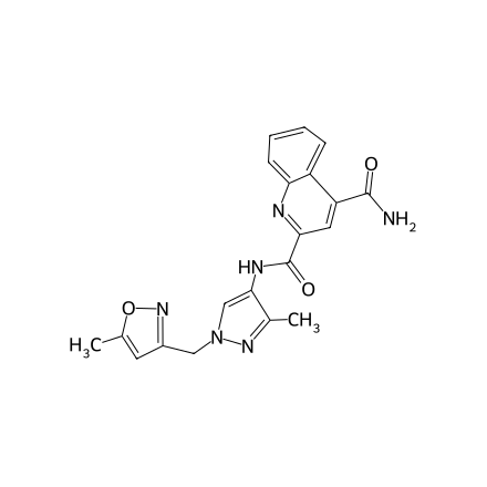 Cc1cc(Cn2cc(NC(=O)c3cc(C(N)=O)c4ccccc4n3)c(C)n2)no1